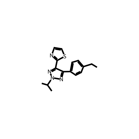 CCc1ccc(-c2nn(C(C)C)nc2-c2nccs2)cc1